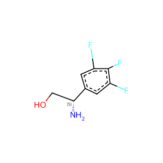 N[C@H](CO)c1cc(F)c(F)c(F)c1